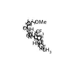 COCCn1ccc(C(=O)NCc2nc(-c3cc4c(N[C@@H]5CCN(C)C[C@@H]5F)cccc4n3CC(F)(F)F)no2)c1